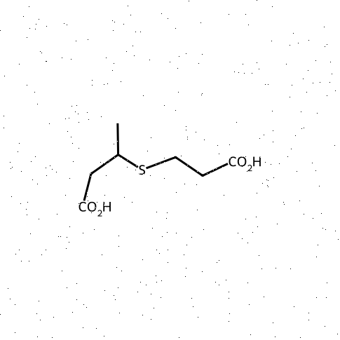 CC(CC(=O)O)SCCC(=O)O